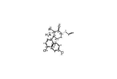 C=CC[C@@H]1C[C@H](c2cccc(Cl)c2)[C@@](N)(c2ccc(Cl)cc2)N(C(C)C)C1=O